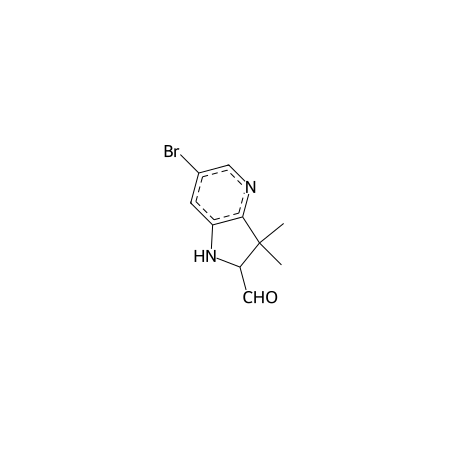 CC1(C)c2ncc(Br)cc2NC1C=O